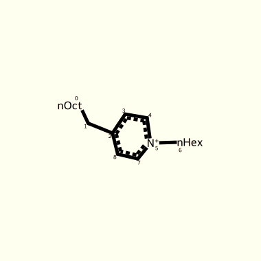 CCCCCCCCCc1cc[n+](CCCCCC)cc1